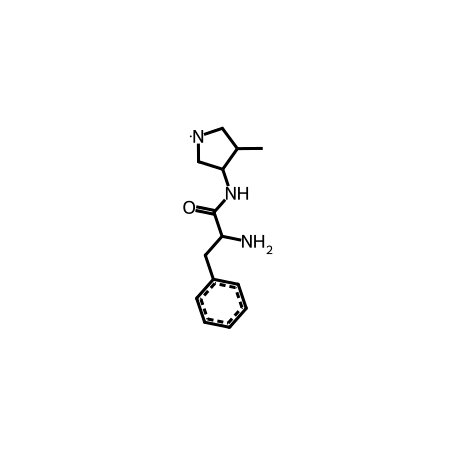 CC1C[N]CC1NC(=O)C(N)Cc1ccccc1